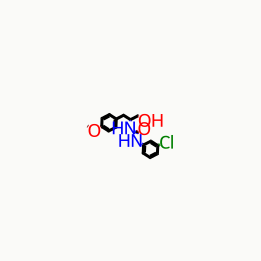 COc1ccc(CC(CO)NC(=O)Nc2cccc(Cl)c2)cc1